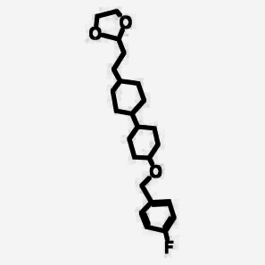 Fc1ccc(COC2CCC(C3CCC(CCC4OCCO4)CC3)CC2)cc1